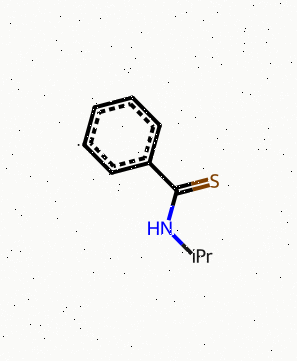 CC(C)NC(=S)c1c[c]ccc1